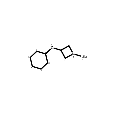 CC(C)(C)N1CC(OC2CCCCC2)C1